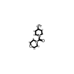 CC(C)C1CCN(C(=O)N2CCOCC2)CC1